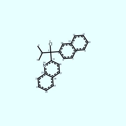 CC(C)C(Cl)(c1ccc2ccccc2c1)c1ccc2ccccc2n1